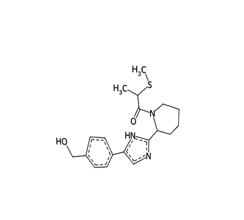 CSC(C)C(=O)N1CCCCC1c1ncc(-c2ccc(CO)cc2)[nH]1